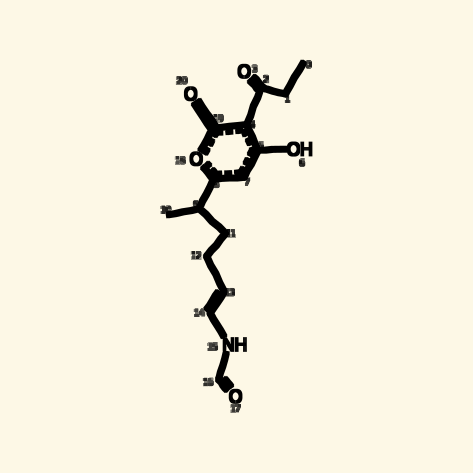 CCC(=O)c1c(O)cc(C(C)CC/C=C/NC=O)oc1=O